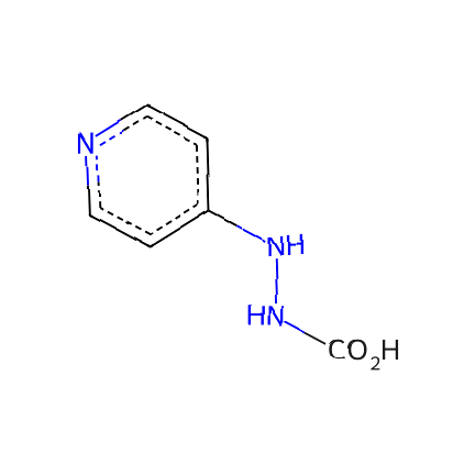 O=C(O)NNc1ccncc1